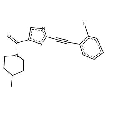 CC1CCN(C(=O)c2cnc(C#Cc3ccccc3F)s2)CC1